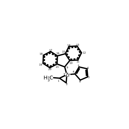 C[CH]1[CH2][Zr]1([C]1=CC=CC1)[CH]1c2ccccc2-c2ccccc21